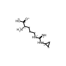 N=C(NCCC[C@@H](N)C(=O)O)NC1CC1